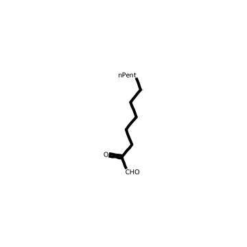 CCCCC[CH]CCCCC(=O)C=O